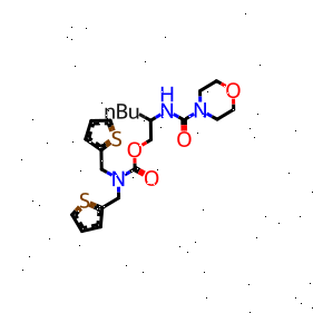 CCCCC(COC(=O)N(Cc1cccs1)Cc1cccs1)NC(=O)N1CCOCC1